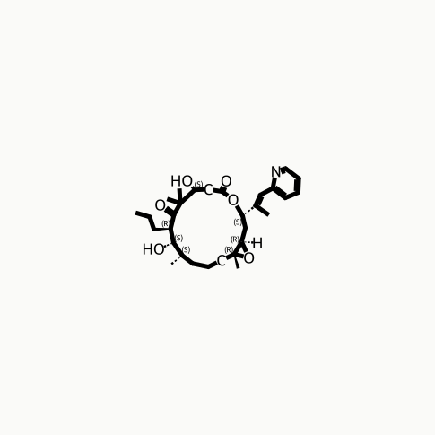 CCC[C@H]1C(=O)C(C)(C)[C@@H](O)CC(=O)O[C@H](C(C)=Cc2ccccn2)C[C@H]2O[C@]2(C)CCC[C@H](C)[C@@H]1O